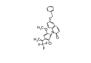 C=C(c1cc(OC)c(-n2c(=O)ccc3cc(SCc4ccccc4)ccc32)cc1Cl)C(F)(F)F